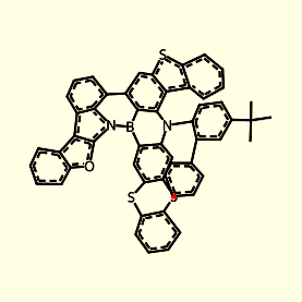 CC(C)(C)c1ccc(N2c3cc4c(cc3B3c5c(cc6sc7ccccc7c6c52)-c2cccc5c6c7ccccc7oc6n3c25)Sc2ccccc2S4)c(-c2ccccc2)c1